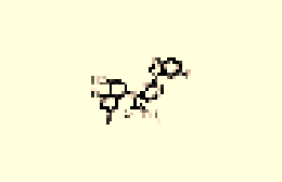 Cn1c(=O)n(C2CCC(O)c3c(F)cc(F)cc32)c2nc(-n3cnc4ccc(F)cc43)ncc21